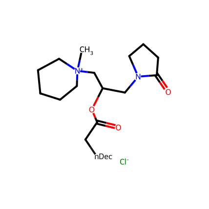 CCCCCCCCCCCC(=O)OC(CN1CCCC1=O)C[N+]1(C)CCCCC1.[Cl-]